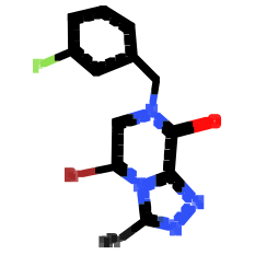 CCCc1nnc2c(=O)n(Cc3cccc(F)c3)cc(Br)n12